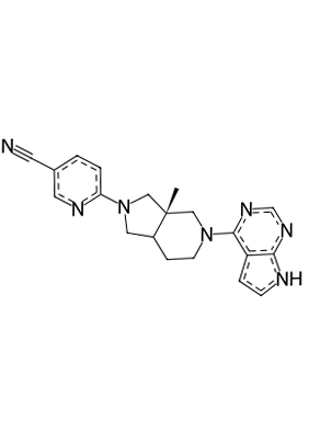 C[C@]12CN(c3ccc(C#N)cn3)CC1CCN(c1ncnc3[nH]ccc13)C2